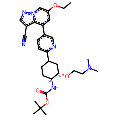 CCOc1cc(-c2ccc(C3CC[C@H](NC(=O)OC(C)(C)C)[C@@H](OCCN(C)C)C3)nc2)c2c(C#N)cnn2c1